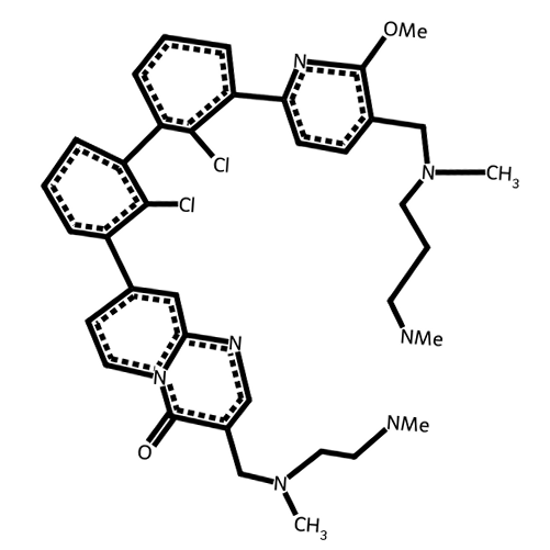 CNCCCN(C)Cc1ccc(-c2cccc(-c3cccc(-c4ccn5c(=O)c(CN(C)CCNC)cnc5c4)c3Cl)c2Cl)nc1OC